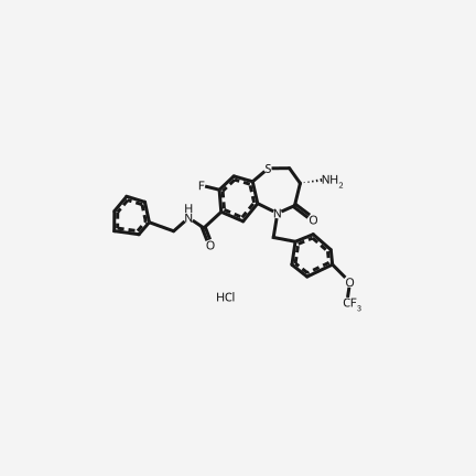 Cl.N[C@H]1CSc2cc(F)c(C(=O)NCc3ccccc3)cc2N(Cc2ccc(OC(F)(F)F)cc2)C1=O